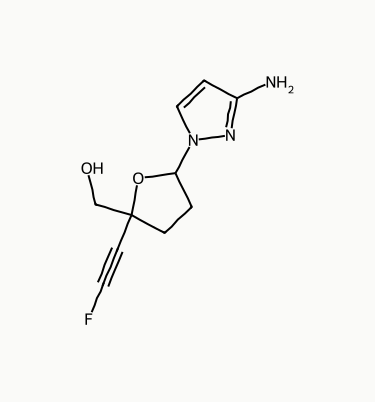 Nc1ccn(C2CCC(C#CF)(CO)O2)n1